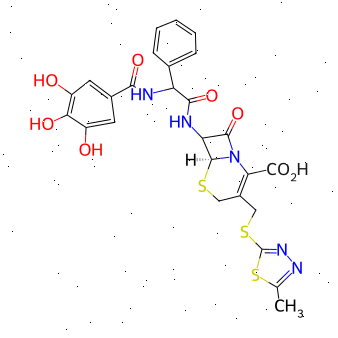 Cc1nnc(SCC2=C(C(=O)O)N3C(=O)C(NC(=O)C(NC(=O)c4cc(O)c(O)c(O)c4)c4ccccc4)[C@@H]3SC2)s1